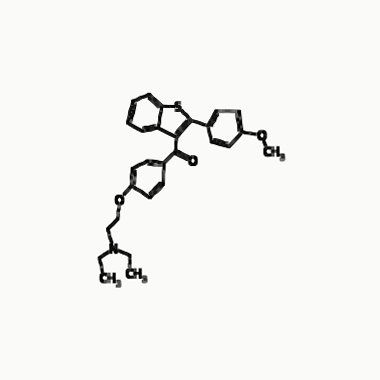 CCN(CC)CCOc1ccc(C(=O)c2c(-c3ccc(OC)cc3)sc3ccccc23)cc1